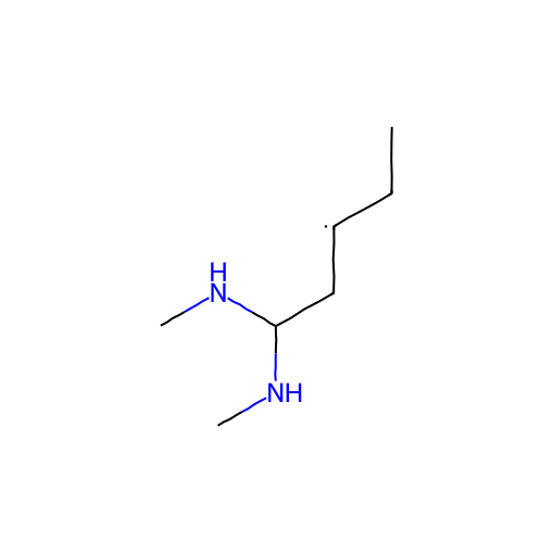 CC[CH]CC(NC)NC